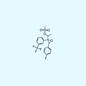 CC(OS(C)(=O)=O)C1(c2cccc(C(F)(F)F)c2)OC1c1ccc(F)cc1